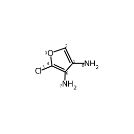 Nc1coc(Cl)c1N